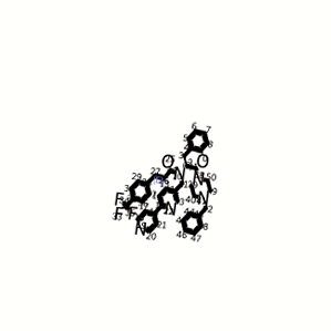 O=C([C@H](Cc1ccccc1)N(Cc1ccc(-c2ccncc2)nc1)C(=O)/C=C/c1ccc(C(F)(F)F)cc1)N1CCN(Cc2ccccc2)CC1